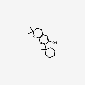 CC1(C)CCc2cc(O)c(C3(C)CCCCC3)cc2O1